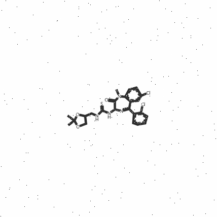 CN1C(=O)C(NC(=S)NCC2COC(C)(C)O2)N=C(c2ccccc2Cl)c2cc(Cl)ccc21